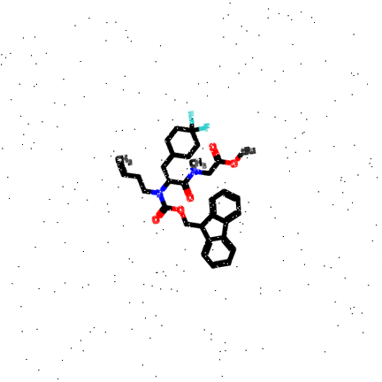 C=CCCN(C(=O)OCC1c2ccccc2-c2ccccc21)[C@@H](CC1CCC(F)(F)CC1)C(=O)N(C)CC(=O)OC(C)(C)C